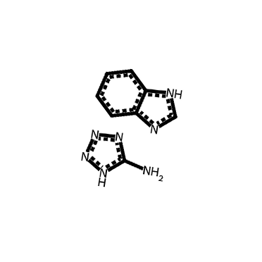 Nc1nnn[nH]1.c1ccc2[nH]cnc2c1